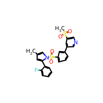 [CH2]c1cc(-c2ccccc2F)n(S(=O)(=O)c2cccc(-c3cncc(S(C)(=O)=O)c3)c2)c1